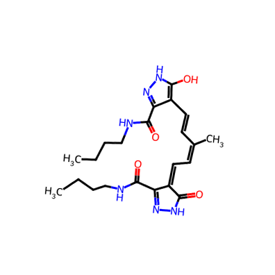 CCCCNC(=O)C1=NNC(=O)C1=CC=C(C)C=Cc1c(C(=O)NCCCC)n[nH]c1O